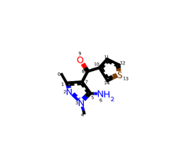 Cc1nn(C)c(N)c1C(=O)c1ccsc1